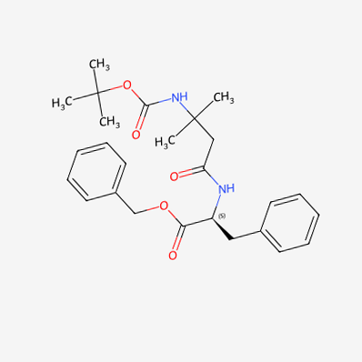 CC(C)(CC(=O)N[C@@H](Cc1ccccc1)C(=O)OCc1ccccc1)NC(=O)OC(C)(C)C